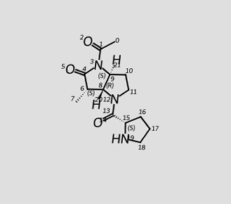 CC(=O)N1C(=O)[C@@H](C)[C@@H]2[C@@H]1CCN2C(=O)[C@@H]1CCCN1